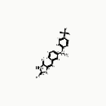 CC(C)(C)c1ccc([S+]([O-])c2cccc(C=C3SC(=S)NC3=O)c2)cc1